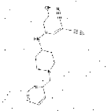 N#CC(C#N)=CN(CCO)NC1CCN(Cc2ccccc2)CC1